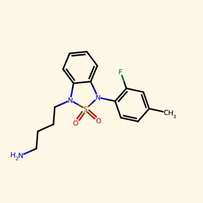 Cc1ccc(N2c3ccccc3N(CCCCN)S2(=O)=O)c(F)c1